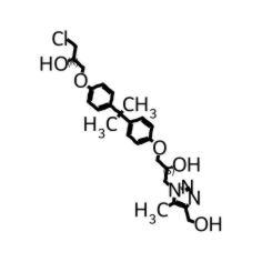 Cc1c(CO)nnn1C[C@H](O)COc1ccc(C(C)(C)c2ccc(OC[C@@H](O)CCl)cc2)cc1